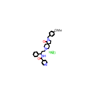 COc1ccc(CN2CCC3(CCN(CCC(NC(=O)c4ccncc4)c4ccccc4)CC3)C2=O)cc1.Cl.Cl